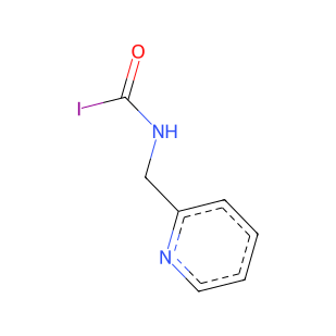 O=C(I)NCc1ccccn1